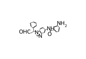 Nc1cccc(C(=O)Nc2ccc3c(c2)ncn3C(CC=O)c2ccccc2)c1